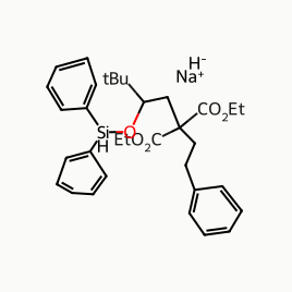 CCOC(=O)C(CCc1ccccc1)(CC(O[SiH](c1ccccc1)c1ccccc1)C(C)(C)C)C(=O)OCC.[H-].[Na+]